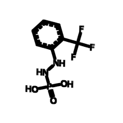 O=P(O)(O)NNc1ccccc1C(F)(F)F